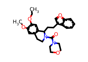 CCOc1cc2c(cc1OC)CCN(C(=O)N1CCOCC1)C2CCc1coc2ccccc12